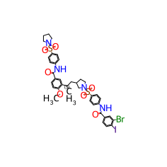 COc1ccc(C(=O)Nc2ccc(S(=O)(=O)N3CCCC3)cc2)cc1[C@@H](C)CC1CCN(S(=O)(=O)c2ccc(NC(=O)c3ccc(I)c(Br)c3)cc2)C1